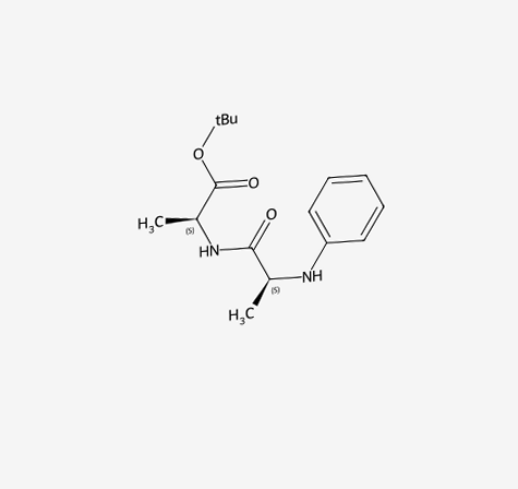 C[C@H](Nc1ccccc1)C(=O)N[C@@H](C)C(=O)OC(C)(C)C